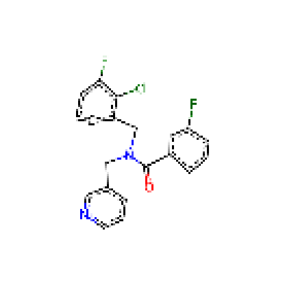 O=C(c1cccc(F)c1)N(Cc1cccnc1)Cc1cccc(F)c1Cl